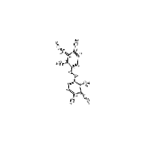 O=C=C1C(Cl)=CC=C(SSC2=CC=C(Cl)C(=C=O)C2O)C1O